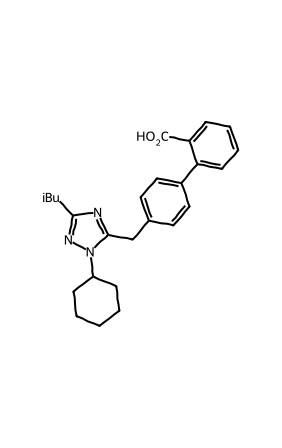 CCC(C)c1nc(Cc2ccc(-c3ccccc3C(=O)O)cc2)n(C2CCCCC2)n1